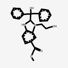 COC(=O)c1ccc2c(c1)N(CCO)C(C(O)(c1ccccc1)c1ccccc1)N2